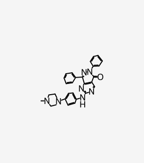 CN1CCN(c2ccc(Nc3ncc4c(=O)n(-c5ccccc5)nc(-c5ccccc5)c4n3)cc2)CC1